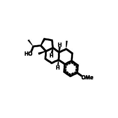 COc1ccc2c(c1)C[C@@H](C)[C@@H]1[C@@H]2CC[C@@]2(C)[C@@H]1CC[C@@H]2[C@@H](C)O